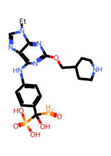 CCn1cnc2c(Nc3ccc(C(O)([PH2]=O)P(=O)(O)O)cc3)nc(OCC3CCNCC3)nc21